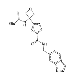 CCCCC(=O)NC1(c2ccc(C(=O)NCc3ccn4ccnc4c3)s2)COC1